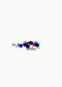 COc1ccc2c(c1)C1(CN(c3cnn(C)c3)C1)C(=O)N2CC1CCC(NC(=O)c2cc(Cl)cnc2C)CC1